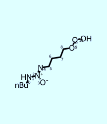 CCCCN[N+]([O-])=NCCCCOOO